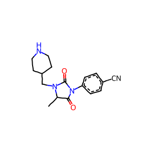 CC1C(=O)N(c2ccc(C#N)cc2)C(=O)N1CC1CCNCC1